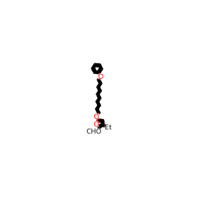 CCc1cc(OCCCCCCCCCCOc2ccccc2)oc1C=O